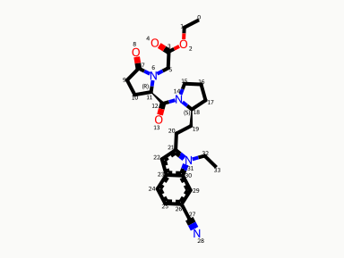 CCOC(=O)CN1C(=O)CC[C@@H]1C(=O)N1CCC[C@H]1CCc1cc2ccc(C#N)cc2n1CC